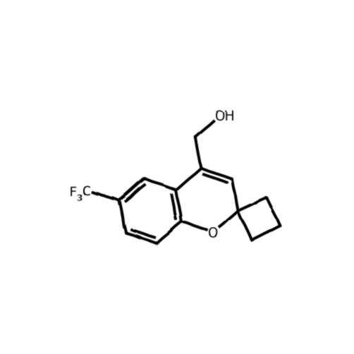 OCC1=CC2(CCC2)Oc2ccc(C(F)(F)F)cc21